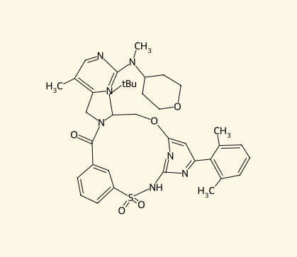 Cc1cnc(N(C)C2CCOCC2)nc1CN1C(=O)c2cccc(c2)S(=O)(=O)Nc2nc(cc(-c3c(C)cccc3C)n2)OCC1CC(C)(C)C